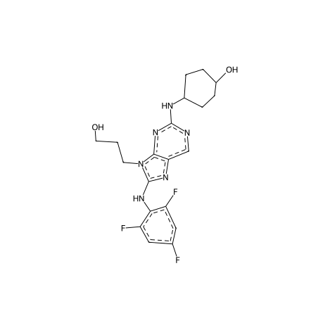 OCCCn1c(Nc2c(F)cc(F)cc2F)nc2cnc(NC3CCC(O)CC3)nc21